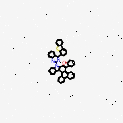 c1ccc2c(-c3cccc4c3sc3ccccc34)nc(-n3c4ccccc4c4c5c6ccccc6c6ccccc6c5c5c6ccccc6oc5c43)nc2c1